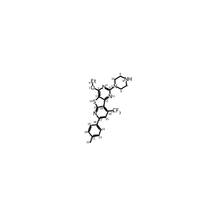 CCOc1nc(N2CCNCC2)nc2c1sc1nc(-c3ccc(C)cc3)cc(C(F)(F)F)c12